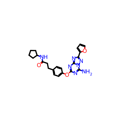 Nc1nc(Oc2ccc(CCC(=O)NC3CCCC3)cc2)nc2nc(-c3ccco3)nn12